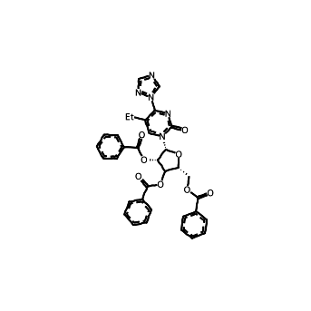 CCc1cn([C@@H]2O[C@H](COC(=O)c3ccccc3)C(OC(=O)c3ccccc3)[C@@H]2OC(=O)c2ccccc2)c(=O)nc1-n1cncn1